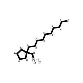 CCCCCCCCCCC1(CN)CCCC1